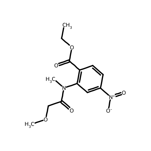 CCOC(=O)c1ccc([N+](=O)[O-])cc1N(C)C(=O)COC